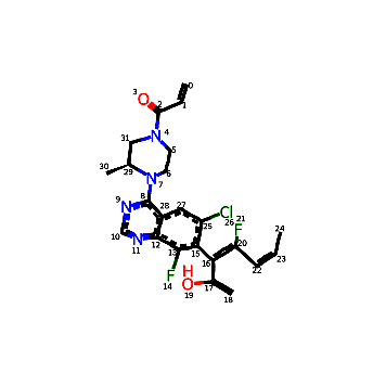 C=CC(=O)N1CCN(c2ncnc3c(F)c(/C(C(=C)O)=C(F)/C=C\C)c(Cl)cc23)[C@@H](C)C1